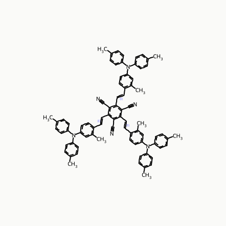 Cc1ccc(N(c2ccc(C)cc2)c2ccc(/C=C/c3c(C#N)c(/C=C/c4ccc(N(c5ccc(C)cc5)c5ccc(C)cc5)cc4C)c(C#N)c(/C=C/c4ccc(N(c5ccc(C)cc5)c5ccc(C)cc5)cc4C)c3C#N)c(C)c2)cc1